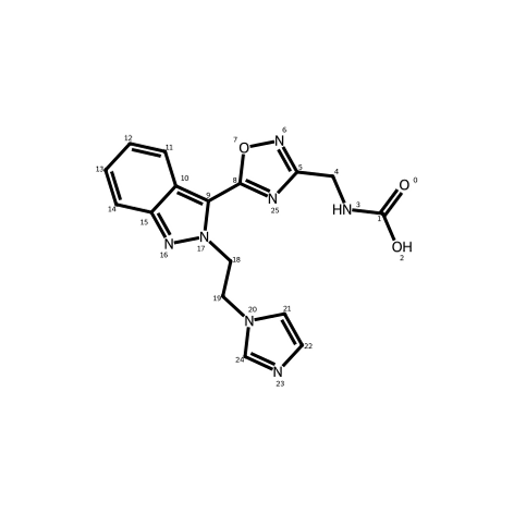 O=C(O)NCc1noc(-c2c3ccccc3nn2CCn2ccnc2)n1